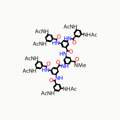 CNC(=O)c1cc(NC(=O)c2cc(NC(=O)c3cc(NC(C)=O)cc(NC(C)=O)c3)cc(NC(=O)c3cc(NC(C)=O)cc(NC(C)=O)c3)c2)cc(NC(=O)c2cc(NC(=O)c3cc(NC(C)=O)cc(NC(C)=O)c3)cc(NC(=O)c3cc(NC(C)=O)cc(NC(C)=O)c3)c2)c1